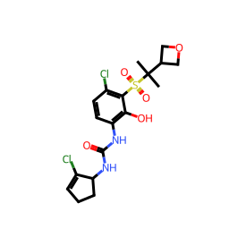 CC(C)(C1COC1)S(=O)(=O)c1c(Cl)ccc(NC(=O)NC2CCC=C2Cl)c1O